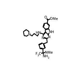 CNC(N)(c1cccc(Cc2nc(NCCCN3CCCCC3)c3c(n2)[nH]c2cc(C(=O)OC)ccc23)c1)C(F)(F)F